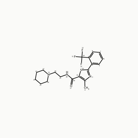 Cc1nc(-c2ccccc2C(F)(F)F)sc1C(=O)NCCN1CCCCC1